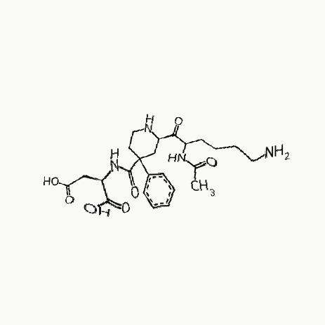 CC(=O)NC(CCCCN)C(=O)[C@H]1CC(C(=O)N[C@H](CC(=O)O)C(=O)O)(c2ccccc2)CCN1